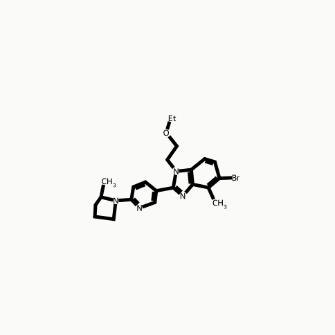 CCOCCn1c(-c2ccc(N3CCCC3C)nc2)nc2c(C)c(Br)ccc21